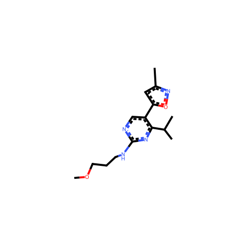 COCCCNc1ncc(-c2cc(C)no2)c(C(C)C)n1